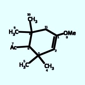 COC1=CC(C)(C)C(C(C)=O)C(C)(C)C1